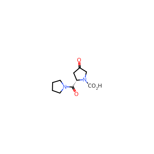 O=C1C[C@@H](C(=O)N2CCCC2)N(C(=O)O)C1